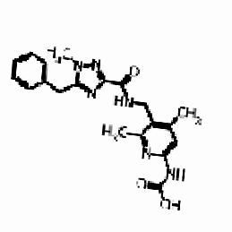 Cc1cc(NC(=O)O)nc(C)c1CNC(=O)c1nc(Cc2ccccc2)n(C)n1